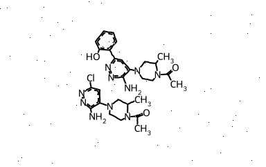 CC(=O)N1CCN(c2cc(-c3ccccc3O)nnc2N)CC1C.CC(=O)N1CCN(c2cc(Cl)nnc2N)CC1C